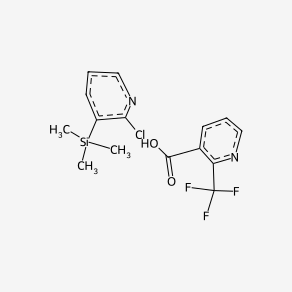 C[Si](C)(C)c1cccnc1Cl.O=C(O)c1cccnc1C(F)(F)F